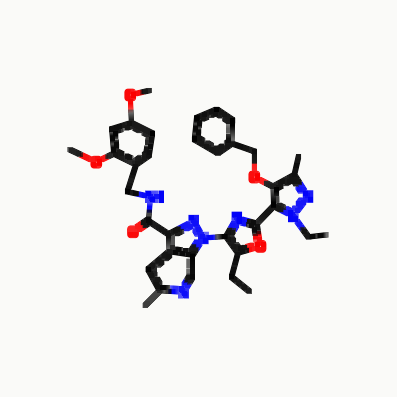 CCc1oc(-c2c(OCc3ccccc3)c(C)nn2CC)nc1-n1nc(C(=O)NCc2ccc(OC)cc2OC)c2cc(C)ncc21